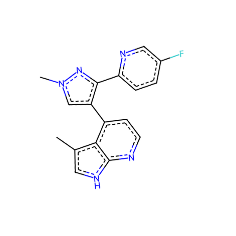 Cc1c[nH]c2nccc(-c3cn(C)nc3-c3ccc(F)cn3)c12